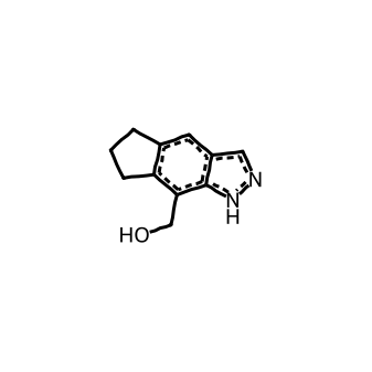 OCc1c2c(cc3cn[nH]c13)CCC2